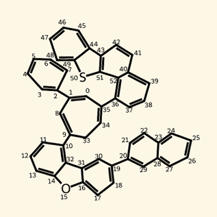 C1=C(c2ccccc2)C=C(c2cccc3oc4ccc(-c5ccc6ccccc6c5)cc4c23)CC=C1c1cccc2ccc3c4ccccc4sc3c12